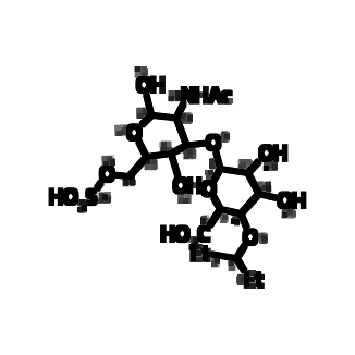 CCC(CC)OC1C(C(=O)O)OC(OC2C(O)C(COS(=O)(=O)O)OC(O)C2NC(C)=O)C(O)C1O